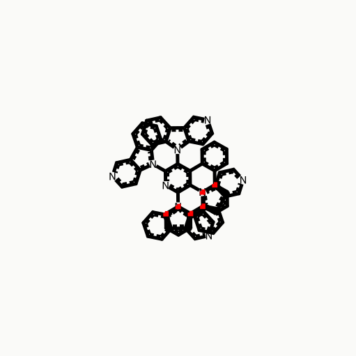 c1ccc(-c2cccc(-c3ccccc3-c3c(-n4c5ccccc5c5cnccc54)c(-n4c5ccccc5c5cnccc54)nc(-n4c5ccccc5c5cnccc54)c3-n3c4ccccc4c4cnccc43)n2)cc1